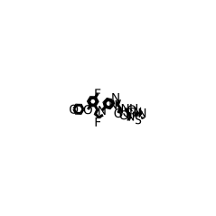 CN(c1nncs1)S(=O)(=O)NC(=O)c1cnc2ccc(N3CC(F)CC3c3cc(F)ccc3OC3CCOCC3)cn12